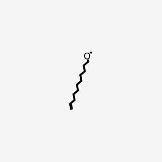 C=CCCCCCCCCCOC